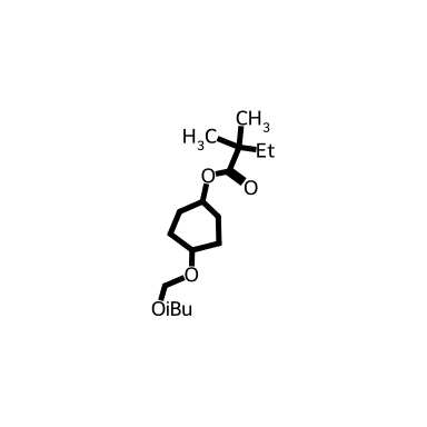 CCC(C)(C)C(=O)OC1CCC(OCOCC(C)C)CC1